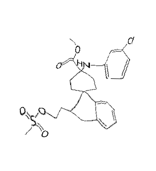 COC(=O)C1(Nc2cccc(Cl)c2)CCC2(CC1)c1ccccc1CC2CCOS(C)(=O)=O